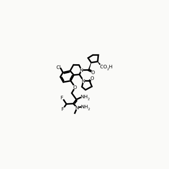 CN(N)/C(=C(\N)COc1ccc(Cl)c2c1C(N1CCCC1=O)N(C(=O)[C@H]1CCC[C@H]1C(=O)O)CC2)C(F)F